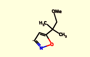 COCC(C)(C)c1c[c]no1